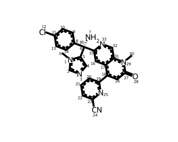 Cn1cncc1[C@@](N)(c1ccc(Cl)cc1)c1cc2c(-c3cccc(C#N)n3)cc(=O)n(C)c2cn1